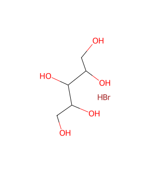 Br.OCC(O)C(O)C(O)CO